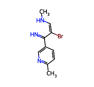 CN/C=C(/Br)C(=N)c1ccc(C)nc1